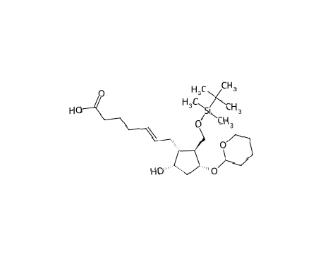 CC(C)(C)[Si](C)(C)OC[C@@H]1[C@@H](CC=CCCCC(=O)O)[C@@H](O)C[C@H]1OC1CCCCO1